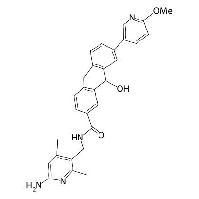 COc1ccc(-c2ccc3c(c2)C(O)c2cc(C(=O)NCc4c(C)cc(N)nc4C)ccc2C3)cn1